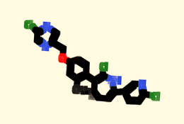 COc1cc(OCc2cnc(Cl)cn2)ccc1C1=C(Cl)NC(c2ccc(Cl)nc2)=CC[C@@H]1C